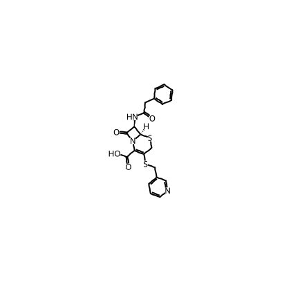 O=C(Cc1ccccc1)N[C@@H]1C(=O)N2C(C(=O)O)=C(SCc3cccnc3)CS[C@H]12